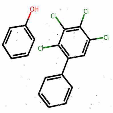 Clc1cc(-c2ccccc2)c(Cl)c(Cl)c1Cl.Oc1ccccc1